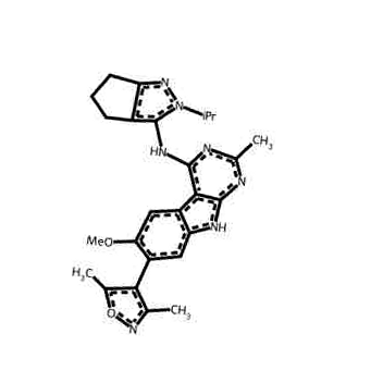 COc1cc2c(cc1-c1c(C)noc1C)[nH]c1nc(C)nc(Nc3c4c(nn3C(C)C)CCC4)c12